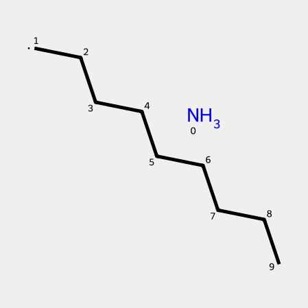 N.[CH2]CCCCCCCC